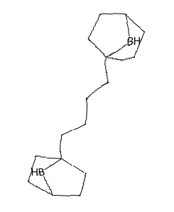 B1C2CCC1(CCCCC13BC(CC1)CC3)CC2